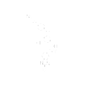 CC(c1ccc(Oc2ccc(OCC#N)cc2)cc1Cl)C(O)(c1ccc2c(c1)n(C)c(=O)n2C)C(F)(F)F